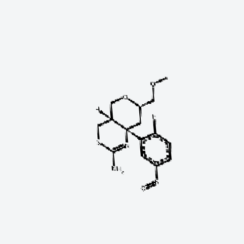 COC[C@H]1C[C@]2(c3cc(N=O)ccc3F)N=C(N)SC[C@@H]2CO1